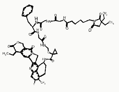 CCC1C(=O)OCc2c1cc1n(c2=O)Cc2c-1nc1cc(F)c(C)c3c1c2C(NC(=O)C1(OCNC(=O)CNC(=O)C(Cc2ccccc2)NC(=O)CNC(=O)CNC(=O)CCCCCN2C(=O)CC(CC)(CC)C2=O)CC1)CC3